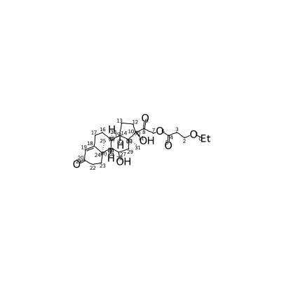 CCOCCC(=O)OCC(=O)[C@@]1(O)CC[C@H]2[C@@H]3CCC4=CC(=O)CC[C@]4(C)[C@H]3C(O)C[C@@]21C